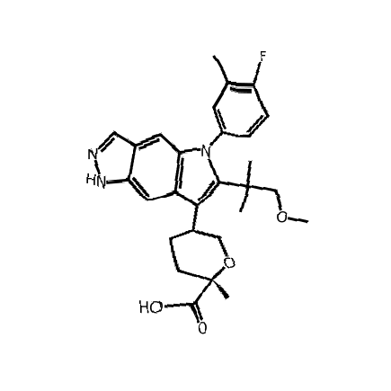 COCC(C)(C)c1c(C2CC[C@@](C)(C(=O)O)OC2)c2cc3[nH]ncc3cc2n1-c1ccc(F)c(C)c1